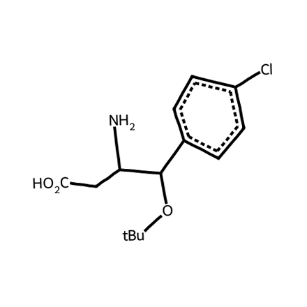 CC(C)(C)OC(c1ccc(Cl)cc1)C(N)CC(=O)O